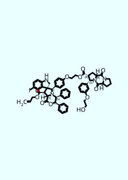 C=CCOC(=O)[C@@H]1[C@H]2C(=O)O[C@H](c3ccccc3)[C@H](c3ccccc3)N2[C@H](c2ccc(OCCOC(=O)[C@@H]3C[C@@H]4C(=O)N5CCC[C@H]5C(=O)N4[C@@H]3c3cccc(OCCO)c3)cc2)[C@@]12CNc1ccc(I)cc12